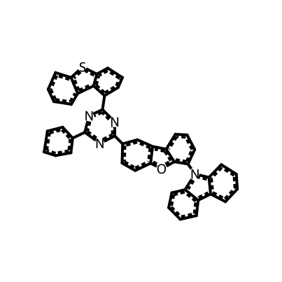 c1ccc(-c2nc(-c3ccc4oc5c(-n6c7ccccc7c7ccccc76)cccc5c4c3)nc(-c3cccc4sc5ccccc5c34)n2)cc1